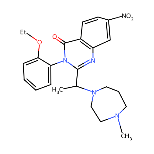 CCOc1ccccc1-n1c(C(C)N2CCCN(C)CC2)nc2cc([N+](=O)[O-])ccc2c1=O